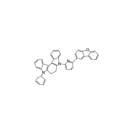 C1=CCC(n2c3c(c4ccccc42)-c2c(n(-c4cccc(-c5ccc6oc7ccccc7c6c5)n4)c4ccccc24)CC3)C=C1